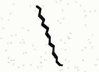 [CH2]CC=CC=CC=CC=CC=CCC